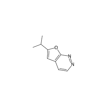 CC(C)c1cc2ccnnc2o1